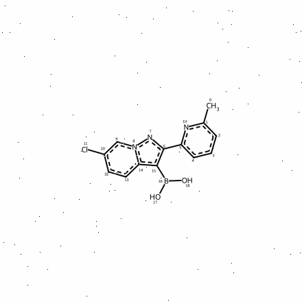 Cc1cccc(-c2nn3cc(Cl)ccc3c2B(O)O)n1